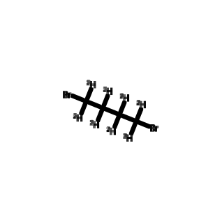 [2H]C([2H])(Br)C([2H])([2H])C([2H])([2H])C([2H])([2H])Br